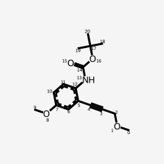 COCC#Cc1cc(OC)ccc1NC(=O)OC(C)(C)C